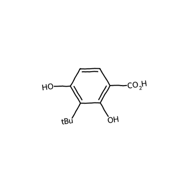 CC(C)(C)c1c(O)ccc(C(=O)O)c1O